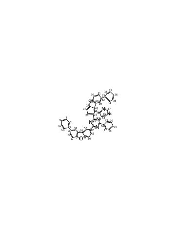 c1ccc(-c2ccc3oc4ccc(-c5nc(-c6ccccc6)nc(-c6ccc7sc8ccc(-c9ccccc9)cc8c7c6-c6ccncn6)n5)cc4c3c2)cc1